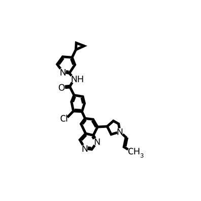 CC=CN1CCC(c2cc(-c3ccc(C(=O)Nc4cc(C5CC5)ccn4)cc3Cl)cc3cncnc23)C1